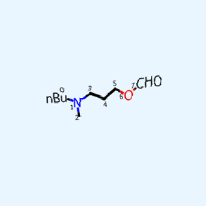 CCCCN(C)CCCOC=O